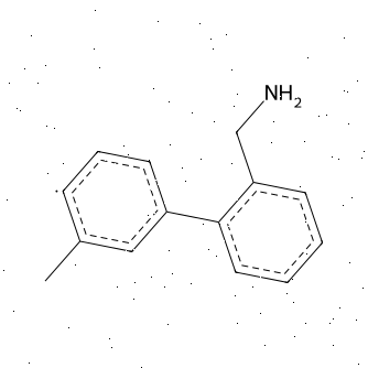 Cc1[c]ccc(-c2ccccc2CN)c1